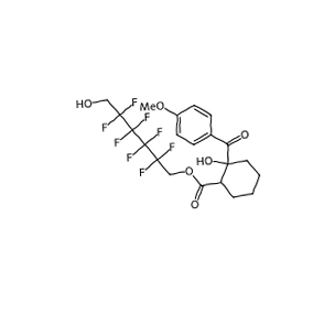 COc1ccc(C(=O)C2(O)CCCCC2C(=O)OCC(F)(F)C(F)(F)C(F)(F)C(F)(F)CO)cc1